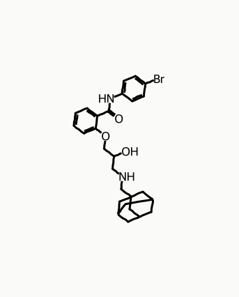 O=C(Nc1ccc(Br)cc1)c1ccccc1OCC(O)CNCC12CC3CC(CC(C3)C1)C2